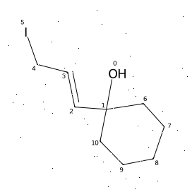 OC1(C=CCI)CCCCC1